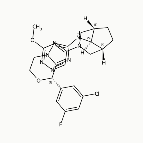 COc1cc(N2C[C@H]3CC[C@@H](C2)[C@@H]3Nc2nc3n(n2)CCO[C@H]3c2cc(F)cc(Cl)c2)cnn1